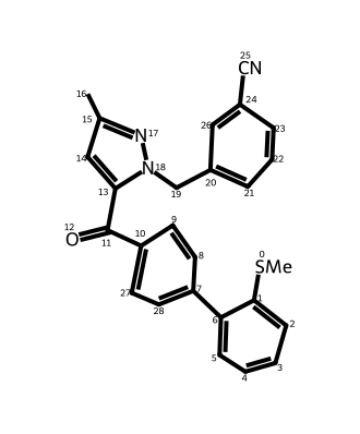 CSc1ccccc1-c1ccc(C(=O)c2cc(C)nn2Cc2cccc(C#N)c2)cc1